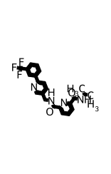 CC(C)NC(=O)c1cccc(C(=O)NCc2ccc(-c3cccc(C(F)(F)F)c3)nc2)n1